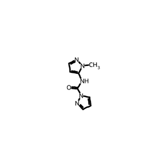 Cn1nccc1NC(=O)n1cccn1